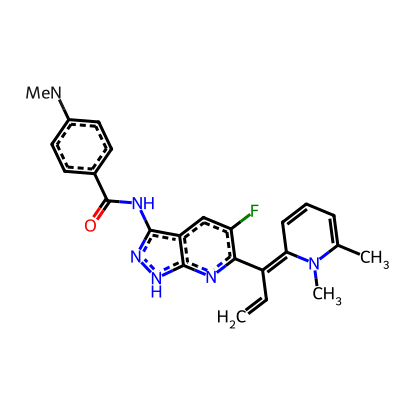 C=C/C(=C1/C=CC=C(C)N1C)c1nc2[nH]nc(NC(=O)c3ccc(NC)cc3)c2cc1F